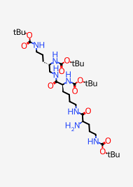 CC(C)(C)OC(=O)NCCC[C@@H](CNC(=O)[C@H](CCCCNC(=O)[C@H](N)CCCNC(=O)OC(C)(C)C)NC(=O)OC(C)(C)C)NC(=O)OC(C)(C)C